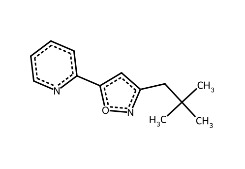 CC(C)(C)Cc1cc(-c2ccccn2)on1